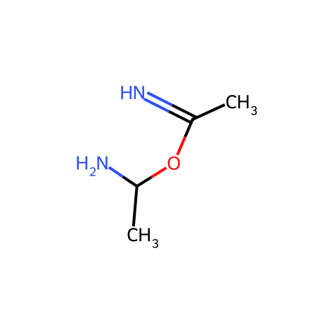 CC(=N)OC(C)N